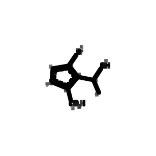 CC(O)c1c(Br)csc1C(=O)O